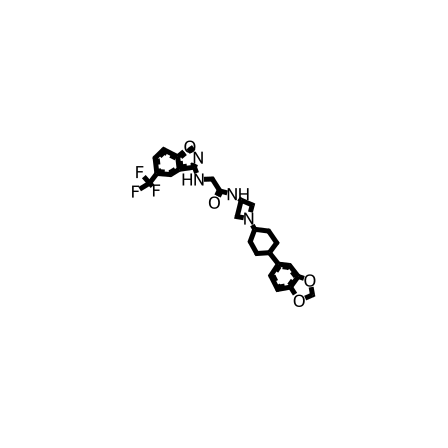 O=C(CNc1noc2ccc(C(F)(F)F)cc12)NC1CN(C2CCC(c3ccc4c(c3)OCO4)CC2)C1